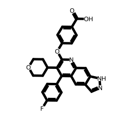 O=C(O)c1ccc(Oc2nc3cc4[nH]ncc4cc3c(-c3ccc(F)cc3)c2C2CCOCC2)cc1